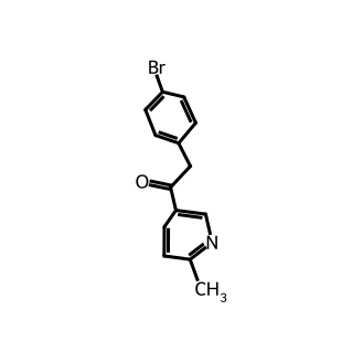 Cc1ccc(C(=O)Cc2ccc(Br)cc2)cn1